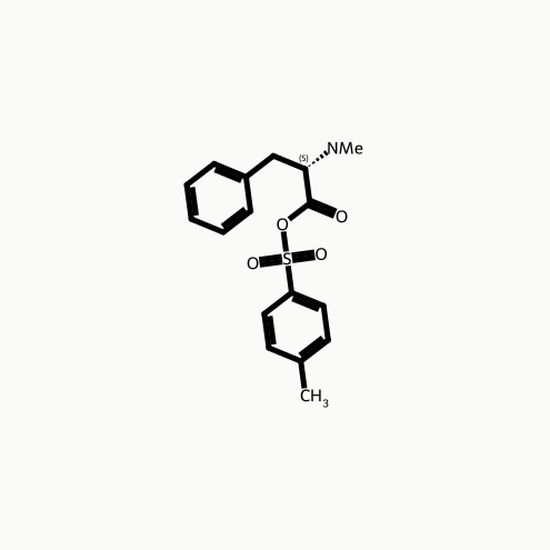 CN[C@@H](Cc1ccccc1)C(=O)OS(=O)(=O)c1ccc(C)cc1